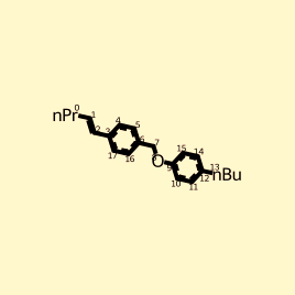 CCC/C=C/c1ccc(COc2ccc(CCCC)cc2)cc1